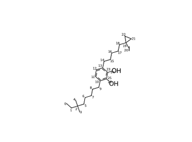 CCC(C)(C)CCCCCc1ccc(CCCCCC2(I)CC2)c(O)c1O